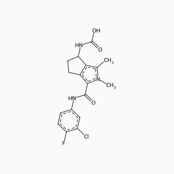 Cc1c2c(c(C(=O)Nc3ccc(F)c(Cl)c3)n1C)CCC2NC(=O)O